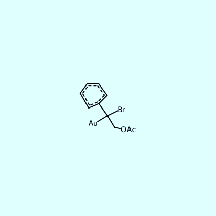 CC(=O)OC[C](Br)([Au])c1ccccc1